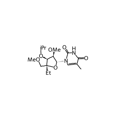 CC[C@]1(COC)O[C@@H](n2cc(C)c(=O)[nH]c2=O)[C@H](OC)[C@@H]1OC(C)C